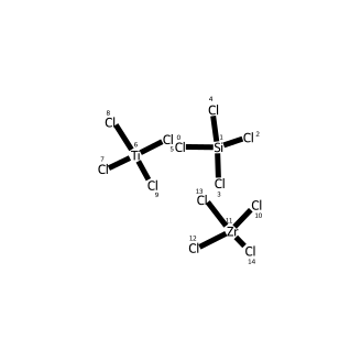 Cl[Si](Cl)(Cl)Cl.[Cl][Ti]([Cl])([Cl])[Cl].[Cl][Zr]([Cl])([Cl])[Cl]